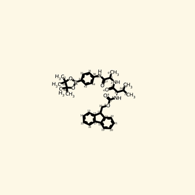 CC(NC(=O)[C@@H](NC(=O)OCC1c2ccccc2-c2ccccc21)C(C)C)C(=O)Nc1ccc(B2OC(C)(C)C(C)(C)O2)cc1